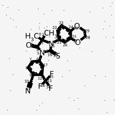 CC1(C)C(=O)N(c2ccc(C#N)c(C(F)(F)F)c2)C(=S)N1c1ccc2c(c1)OCCO2